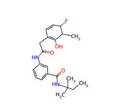 CCC(C)(C)NC(=O)c1cccc(NC(=O)CC2=C(O)C(C)C(F)C=C2)c1